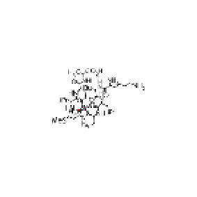 CC[C@H](C)[C@H](NC(=O)[C@@H](N)CCCCN)C(=O)N[C@@H](CC(C)C)C(=O)N[C@@H](CC(C)C)C(=O)N[C@@H](CCSC)C(=O)N[C@H](C(=O)N[C@@H](CCCCN)C(=O)N[C@@H](C)C(=O)O)C(C)C